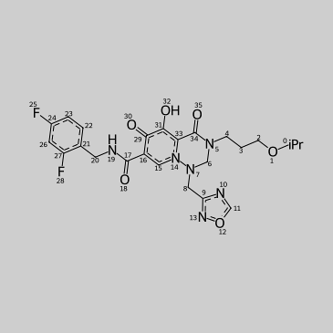 CC(C)OCCCN1CN(Cc2ncon2)n2cc(C(=O)NCc3ccc(F)cc3F)c(=O)c(O)c2C1=O